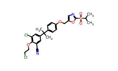 CC(C)S(=O)(=O)c1ncc(COc2ccc(C(C)(C)c3cc(Cl)c(OCCCl)c(C#N)c3)cc2)o1